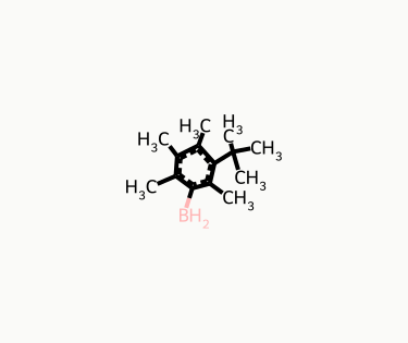 Bc1c(C)c(C)c(C)c(C(C)(C)C)c1C